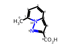 Cc1cccc2cc(C(=O)O)nn12